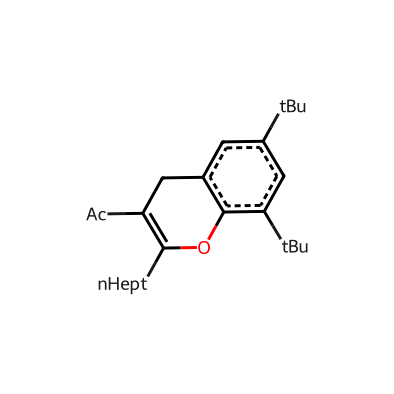 CCCCCCCC1=C(C(C)=O)Cc2cc(C(C)(C)C)cc(C(C)(C)C)c2O1